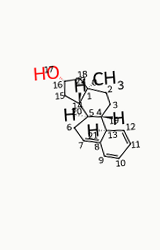 C[C@]12CC[C@H]3[C@@H](CC=C4C=CC=C[C@@H]43)[C@@H]1C[C@H](O)C2